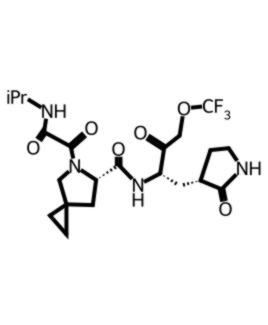 CC(C)NC(=O)C(=O)N1CC2(CC2)C[C@H]1C(=O)N[C@@H](C[C@@H]1CCNC1=O)C(=O)COC(F)(F)F